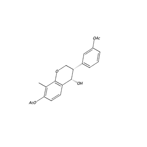 CC(=O)Oc1cccc([C@H]2COc3c(ccc(OC(C)=O)c3C)[C@H]2O)c1